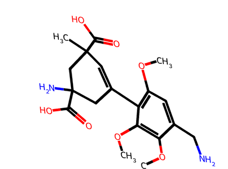 COc1cc(CN)c(OC)c(OC)c1C1=CC(C)(C(=O)O)CC(N)(C(=O)O)C1